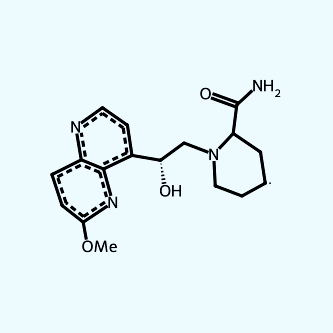 COc1ccc2nccc([C@@H](O)CN3CC[CH]CC3C(N)=O)c2n1